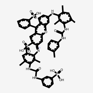 Cc1cccc(NC(=O)Nc2c(C)cc(C)c(Nc3ccc4c(-c5ccccc5S(=O)(=O)O)c5cc(S(=O)(=O)O)/c(=N\c6c(C)cc(C)c(NC(=O)Nc7cccc(P(=O)(O)O)c7)c6C)cc-5oc4c3)c2C)c1